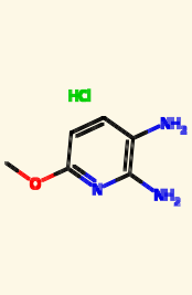 COc1ccc(N)c(N)n1.Cl